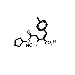 Cc1ccc(C=C(C(=O)O)C(CC(=O)OC2CCCC2)C(=O)O)cc1